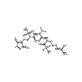 CC(C)[C@H](NC(=O)[C@@H](CCN1C(=O)C=CC1=O)S(=O)(=O)O)C(=O)N[C@@H](CCCNC(N)=O)C(=O)C(C)(C)S